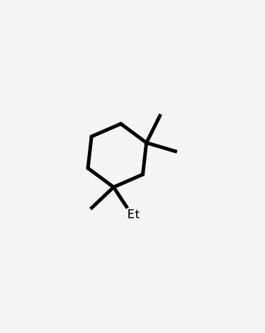 CCC1(C)CCCC(C)(C)C1